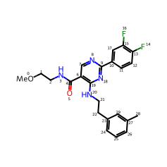 COCCNC(=O)c1cnc(-c2ccc(F)c(F)c2)nc1NCCc1cccc(C)c1